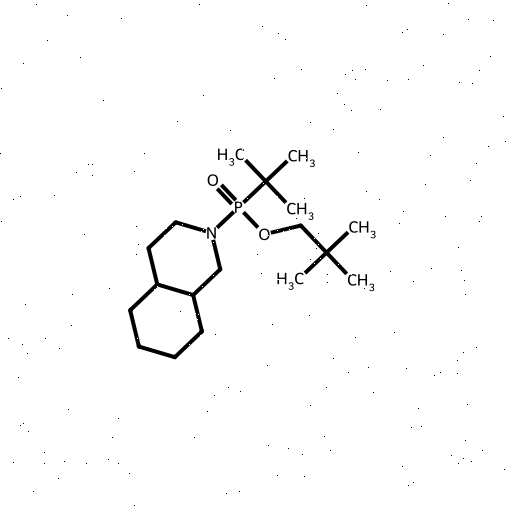 CC(C)(C)COP(=O)(N1CCC2CCCCC2C1)C(C)(C)C